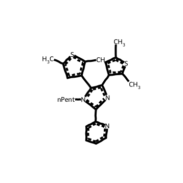 CCCCCn1c(-c2ccccn2)nc(-c2cc(C)sc2C)c1-c1cc(C)sc1C